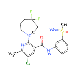 Cc1nc(N2CCCC(F)(F)CC2)c(C(=O)Nc2cccc(S(C)(=N)=O)c2)cc1Cl